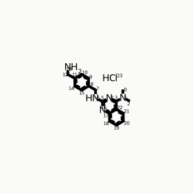 CN(C)c1nc(NCc2ccc(CN)cc2)nc2ccccc12.Cl